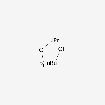 CC(C)OC(C)C.CCCCO